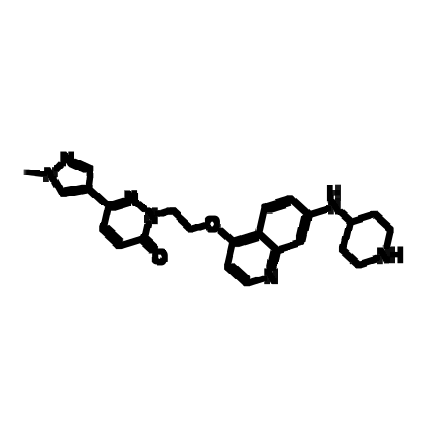 Cn1cc(-c2ccc(=O)n(CCOc3ccnc4cc(NC5CCNCC5)ccc34)n2)cn1